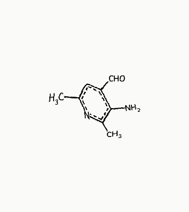 Cc1cc(C=O)c(N)c(C)n1